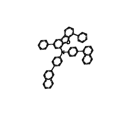 c1ccc(-c2cc(N(c3ccc(-c4ccc5ccccc5c4)cc3)c3ccc(-c4cccc5ccccc45)cc3)c3oc4c(-c5ccccc5)cccc4c3c2)cc1